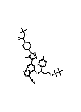 Cc1c(-c2cc(OC(CCO[Si](C)(C)C(C)(C)C)c3ccc(F)cn3)c3c(C#N)cnn3c2)nnn1C1CCN(C(=O)OC(C)(C)C)CC1